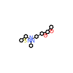 c1ccc(-c2nc(-c3ccc(-c4ccc5c(c4)oc4cc6oc7ccccc7c6cc45)cc3)nc(-c3cccc4c3sc3ccccc34)n2)cc1